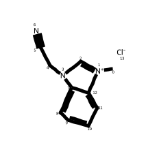 C[n+]1cn(CC#N)c2ccccc21.[Cl-]